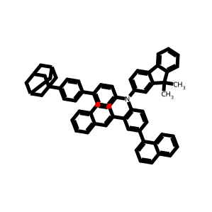 CC1(C)c2ccccc2-c2ccc(N(c3ccc(-c4ccc(C56CC7CC(CC(C7)C5)C6)cc4)cc3)c3ccc(-c4cccc5ccccc45)cc3-c3ccc4ccccc4c3)cc21